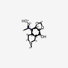 C/C(=N\O)c1c2c(c(O)c3c1OCO3)CN(C)CC2